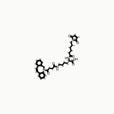 O=C(CCC(=O)N1Cc2ccccc2C#Cc2ccccc21)NCCCC[C@@H](NC(=O)CCCCCN1C(=O)C=CC1=O)C(=O)O